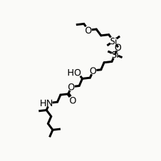 CCOCCC[Si](C)(C)O[Si](C)(C)CCCOCC(O)COC(=O)CCNC(C)CCC(C)C